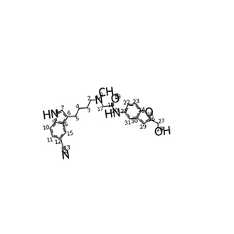 CN(CCCCc1c[nH]c2ccc(C#N)cc12)CC(=O)Nc1ccc2oc(CO)cc2c1